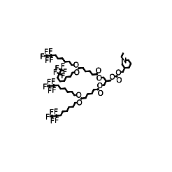 CCN1CCCC(COC(=O)OCC(COC(=O)CCCCC(OCCCCCCC(F)(F)C(F)(F)F)OCCCCCCC(F)(F)C(F)(F)F)COC(=O)CCCCC(OCCCCCCC(F)(F)C(F)(F)F)OCCCCCCC(F)(F)C(F)(F)F)C1